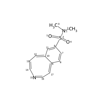 CN(C)S(=O)(=O)c1ccc2/c(c1)=C\C=C/N=C\C=2